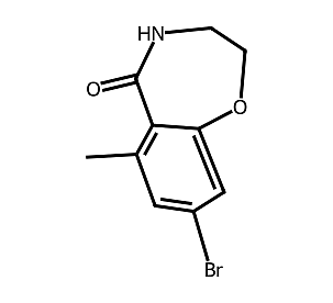 Cc1cc(Br)cc2c1C(=O)NCCO2